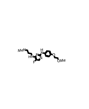 CNCCCNc1nc(Nc2ccc(OCCOC)cc2)ncc1F